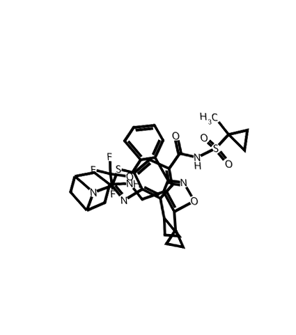 CC1(S(=O)(=O)NC(=O)c2cc(C3CC3)c3nc(N4C5CC(NCc6c(-c7ccccc7OC(F)(F)F)noc6C6CC6)CC4C5)sc3c2)CC1